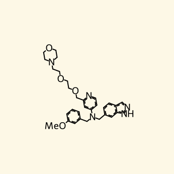 COc1cccc(CN(Cc2ccc3cn[nH]c3c2)c2ccnc(COCCOCCN3CCOCC3)c2)c1